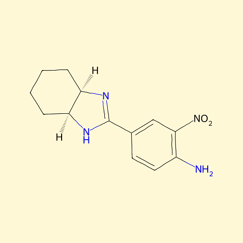 Nc1ccc(C2=N[C@@H]3CCCC[C@@H]3N2)cc1[N+](=O)[O-]